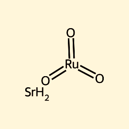 [O]=[Ru](=[O])=[O].[SrH2]